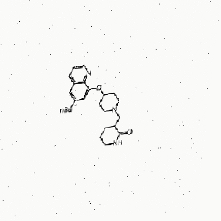 CCCCc1cc(OC2CCN(CC3CCCNC3=O)CC2)c2ncccc2c1